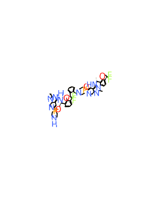 Cc1nc(N[C@H](C)c2cccc3c2OCC3(F)F)c2cc(P3(=O)CCN(Cc4ccccc4C4Oc5c([C@@H](C)Nc6nc(C)nc7cnc(P8(=O)CCNCC8)cc67)cccc5C4(F)F)CC3)ncc2n1